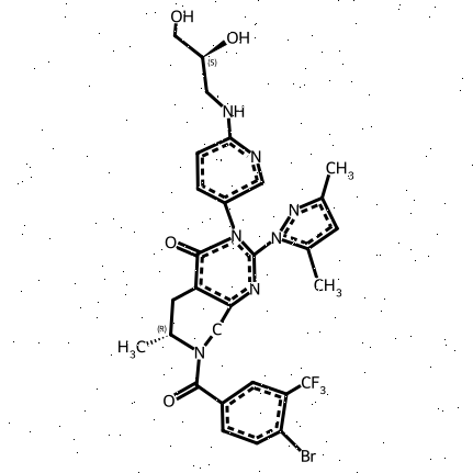 Cc1cc(C)n(-c2nc3c(c(=O)n2-c2ccc(NC[C@H](O)CO)nc2)C[C@@H](C)N(C(=O)c2ccc(Br)c(C(F)(F)F)c2)C3)n1